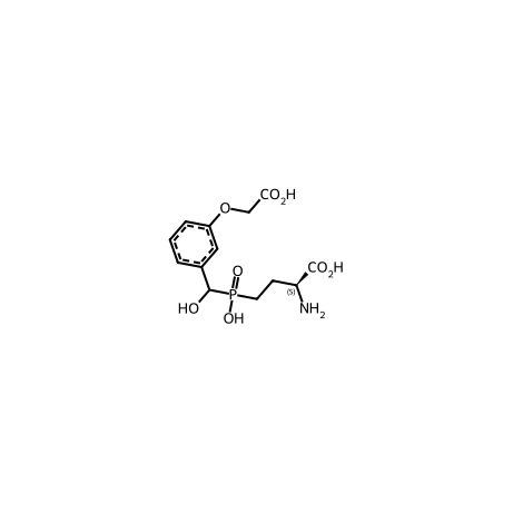 N[C@@H](CCP(=O)(O)C(O)c1cccc(OCC(=O)O)c1)C(=O)O